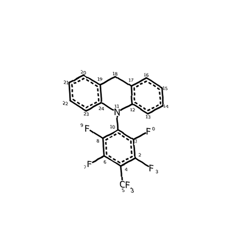 Fc1c(F)c(C(F)(F)F)c(F)c(F)c1N1c2ccccc2Cc2ccccc21